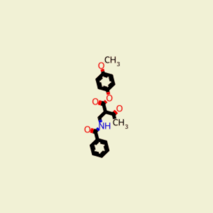 COc1ccc(OC(=O)C(CNC(=O)c2ccccc2)C(C)=O)cc1